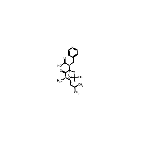 CC(C)CCN(C)C(=O)[C@H](OC(C)(C)C)N(Cc1ccncc1)C(=O)O